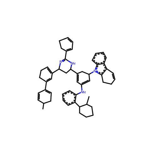 CC1C=CC(C2=CC(C3CC(C4=CC(Nc5ccccc5C5CCCCC5C)=CC(n5c6c(c7ccccc75)C=CCC6)C4)NC(C4=CC=CCC4)=N3)=CCC2)=CC1